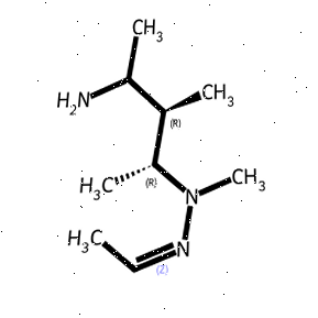 C/C=N\N(C)[C@H](C)[C@H](C)C(C)N